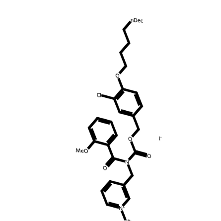 CCCCCCCCCCCCCCOc1ccc(COC(=O)N(Cc2ccc[n+](CCC)c2)C(=O)c2ccccc2OC)cc1Cl.[I-]